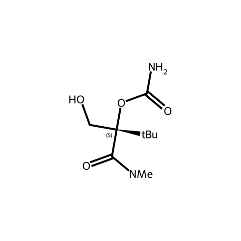 CNC(=O)[C@](CO)(OC(N)=O)C(C)(C)C